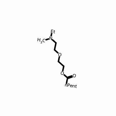 CCCCCC(=O)OCCOCCN(C)CC